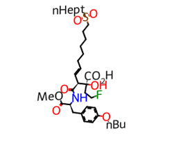 CCCCCCCS(=O)(=O)CCCCCC/C=C/[C@H](C(=O)N[C@@H](Cc1ccc(OCCCC)cc1)C(=O)OC)[C@@](O)(CCF)C(=O)O